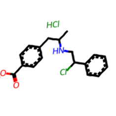 COC(=O)c1ccc(CC(C)NCC(Cl)c2ccccc2)cc1.Cl